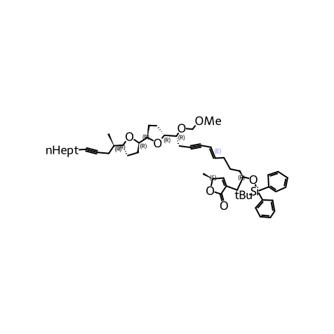 CCCCCCCC#CC[C@@H](C)[C@H]1CC[C@H]([C@H]2CC[C@H]([C@@H](CC#C/C=C/CCC[C@H](CC3=C[C@H](C)OC3=O)O[Si](c3ccccc3)(c3ccccc3)C(C)(C)C)OCOC)O2)O1